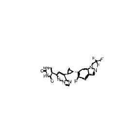 O=c1[nH]cc(-c2cc([C@H]3C[C@@H]3c3cc4c(cnn4CC(F)(F)F)cc3F)c3nccn3n2)c(=O)[nH]1